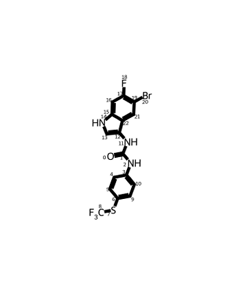 O=C(Nc1ccc(SC(F)(F)F)cc1)Nc1c[nH]c2cc(F)c(Br)cc12